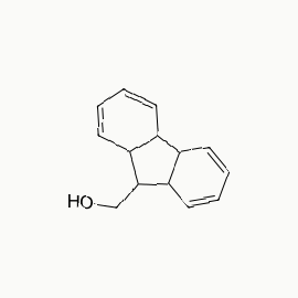 OCC1C2C=CC=CC2C2C=CC=CC21